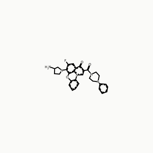 NC1CCN(c2c(F)cc3c(=O)c(C(=O)N4CCN(c5ccccc5)CC4)cn4c3c2Oc2ccccc2-4)C1